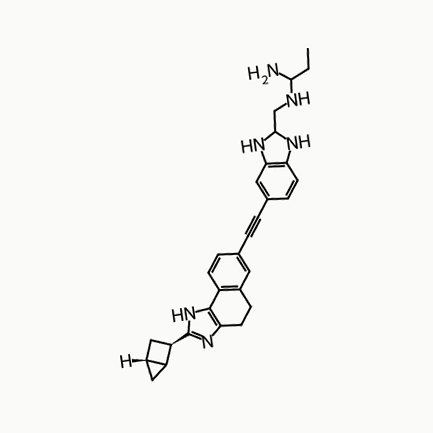 CCC(N)NCC1Nc2ccc(C#Cc3ccc4c(c3)CCc3nc([C@@H]5C[C@H]6CC65)[nH]c3-4)cc2N1